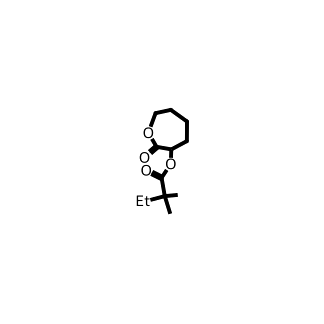 CCC(C)(C)C(=O)OC1CCCCOC1=O